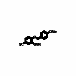 COc1ccc(COc2ccc(C#N)cc2OC)cc1